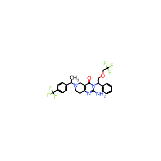 CC(c1ccc(C(F)(F)F)cc1)N1CCc2nc(N)n(C(COCC(F)(F)F)c3ccccc3)c(=O)c2C1